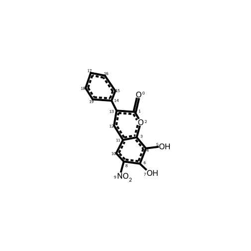 O=c1oc2c(O)c(O)c([N+](=O)[O-])cc2cc1-c1ccccc1